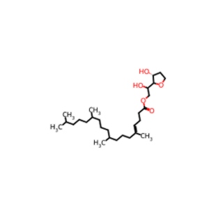 C/C(=C\CCC(=O)OCC(O)C1OCC[C@H]1O)CCCC(C)CCCC(C)CCCC(C)C